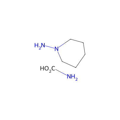 NC(=O)O.NN1CCCCC1